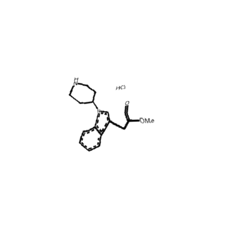 COC(=O)Cc1cn(C2CCNCC2)c2ccccc12.Cl